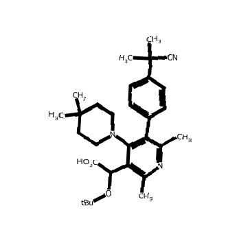 Cc1nc(C)c(C(OC(C)(C)C)C(=O)O)c(N2CCC(C)(C)CC2)c1-c1ccc(C(C)(C)C#N)cc1